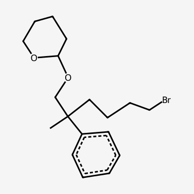 CC(CCCCBr)(COC1CCCCO1)c1ccccc1